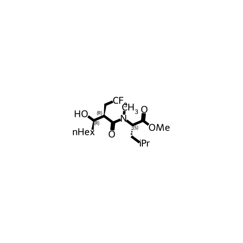 CCCCCC[C@@H](O)[C@@H](CC(F)(F)F)C(=O)N(C)[C@@H](CC(C)C)C(=O)OC